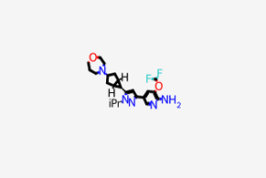 CC(C)n1nc(-c2cnc(N)c(OC(F)F)c2)cc1[C@H]1[C@@H]2C[C@@H](N3CCCOCC3)C[C@@H]21